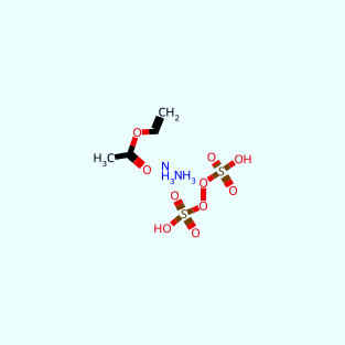 C=COC(C)=O.N.N.O=S(=O)(O)OOS(=O)(=O)O